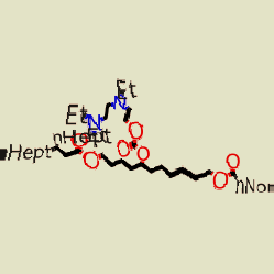 CCCCCCCCCC(=O)OCCCCCCC(CCCCOC(=O)CC(CCCCCCC)CCCCCCC)OC(=O)OCCN(CC)CCN(CC)CC